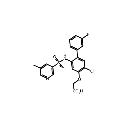 Cc1cncc(S(=O)(=O)Nc2cc(OCC(=O)O)c(Cl)cc2-c2cccc(F)c2)c1